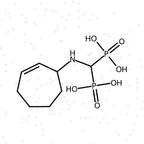 O=P(O)(O)C(NC1C=CCCCC1)P(=O)(O)O